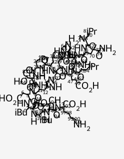 CCC(C)C(NC(=O)C(CC(=O)O)NC(=O)C(Cc1cnc[nH]1)NC(=O)C(NC(=O)C(CC(C)C)NC(=O)C(CCC(=O)O)NC(=O)C(CC(N)=O)NC(=O)C(CCC(=O)O)NC(=O)C(CC(C)C)NC(=O)C(Cc1cnc[nH]1)NC(=O)C(CCC(N)=O)NC(=O)C(N)CC(C)C)C(C)O)C(=O)NC(C(=O)NC(C(=O)NC(CCCCN)C(=O)O)C(C)O)C(C)CC